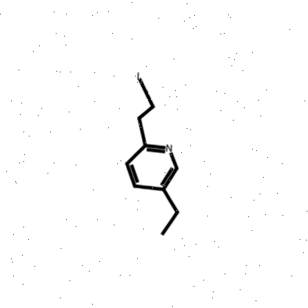 CCc1ccc(CCI)nc1